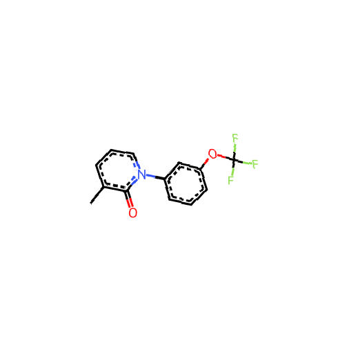 Cc1cccn(-c2cccc(OC(F)(F)F)c2)c1=O